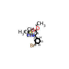 CCOC(=O)CC(NSC(C)(C)C)c1cccc(Br)c1